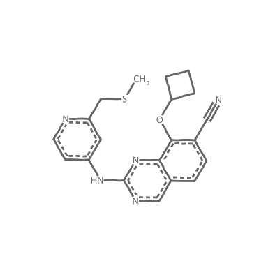 CSCc1cc(Nc2ncc3ccc(C#N)c(OC4CCC4)c3n2)ccn1